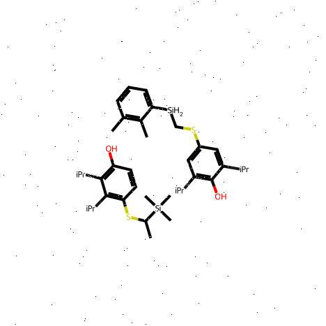 CC(C)c1c(O)ccc(SC(C)[Si](C)(C)C)c1C(C)C.Cc1cccc([SiH2]CSc2cc(C(C)C)c(O)c(C(C)C)c2)c1C